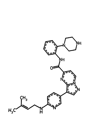 CC(C)=CCNc1ccc(-c2cnn3ccc(C(=O)Nc4ccccc4N4CCNCC4)nc23)cn1